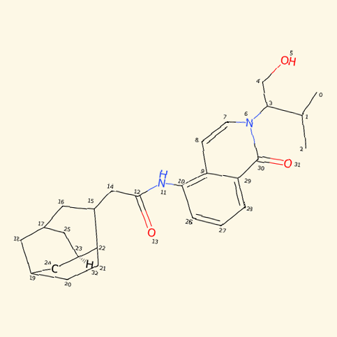 CC(C)C(CO)n1ccc2c(NC(=O)CC3CC4CC5CCC3[C@@H](C5)C4)cccc2c1=O